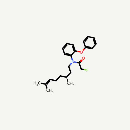 CC(C)=CCC[C@H](C)CCN(C(=O)CF)c1ccccc1Oc1ccccc1